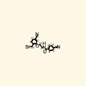 N#Cc1ccc(C(=O)NCCOc2cc(C#N)ccc2CBr)cc1